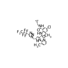 Cc1cccnc1-n1nc(Cn2cc(C(F)(F)C(F)(F)C(F)(F)F)nn2)cc1C(=O)Nc1c(C)cc(Cl)cc1C(=O)NCC1CC1